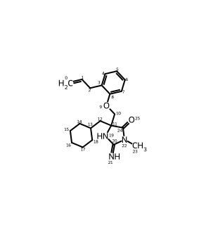 C=CCc1ccccc1OCC1(CC2CCCCC2)NC(=N)N(C)C1=O